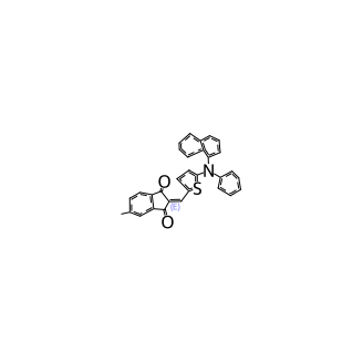 Cc1ccc2c(c1)C(=O)/C(=C/c1ccc(N(c3ccccc3)c3cccc4ccccc34)s1)C2=O